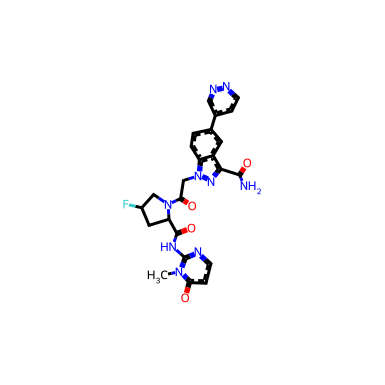 Cn1c(NC(=O)C2CC(F)CN2C(=O)Cn2nc(C(N)=O)c3cc(-c4ccnnc4)ccc32)nccc1=O